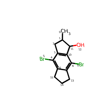 CC1Cc2c(Br)c3c(c(Br)c2C1O)CCC3